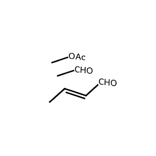 CC=CC=O.CC=O.COC(C)=O